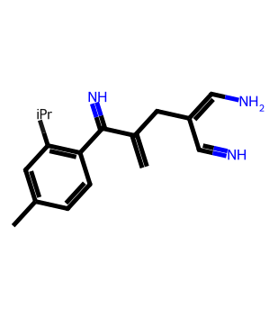 C=C(C/C(C=N)=C/N)C(=N)c1ccc(C)cc1C(C)C